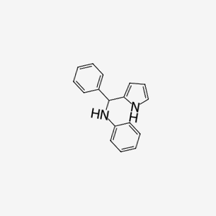 c1ccc(NC(c2ccccc2)c2ccc[nH]2)cc1